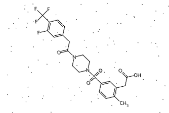 Cc1ccc(S(=O)(=O)N2CCN(C(=O)Cc3ccc(C(F)(F)F)c(F)c3)CC2)cc1CC(=O)O